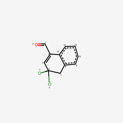 O=CC1=CC(Cl)(Cl)Cc2ccccc21